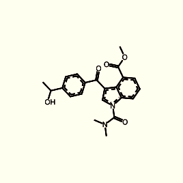 COC(=O)c1cccc2c1c(C(=O)c1ccc(C(C)O)cc1)cn2C(=O)N(C)C